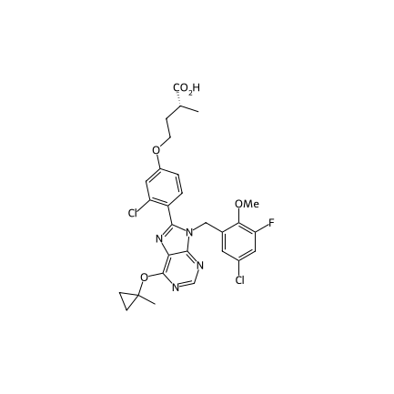 COc1c(F)cc(Cl)cc1Cn1c(-c2ccc(OCC[C@@H](C)C(=O)O)cc2Cl)nc2c(OC3(C)CC3)ncnc21